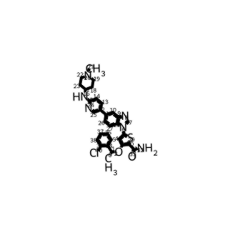 CC(Oc1cc(-n2cnc3cc(-c4ccc(NC5CCN(C)CC5)nc4)ccc32)sc1C(N)=O)c1ccccc1Cl